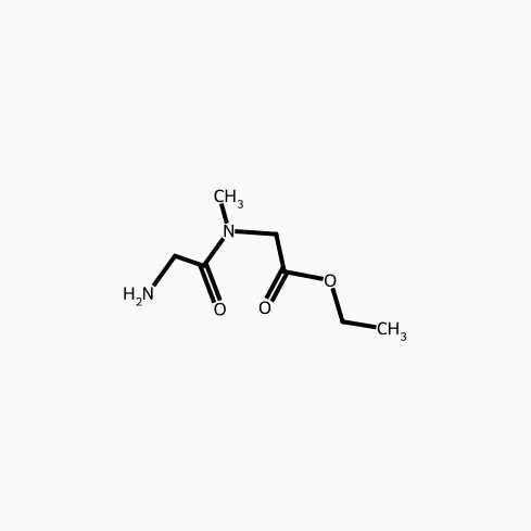 CCOC(=O)CN(C)C(=O)CN